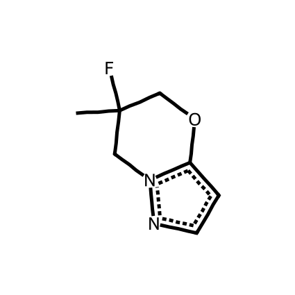 CC1(F)COc2ccnn2C1